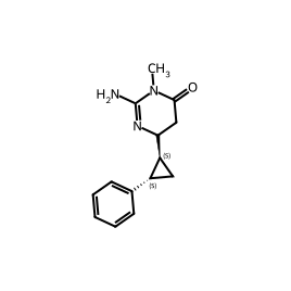 CN1C(=O)CC([C@H]2C[C@@H]2c2ccccc2)N=C1N